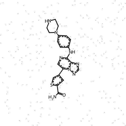 NC(=O)c1cc(-c2cnc(Nc3ccc(N4CCNCC4)cc3)c3ncnn23)cs1